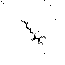 C=C(C)C(=O)OCC=CNCCCC